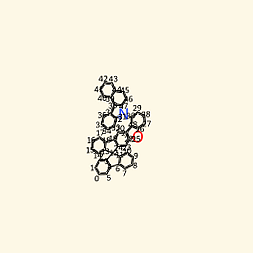 c1ccc2c(c1)-c1ccccc1C21c2ccccc2-c2cc3c(cc21)oc1cccc(-n2c4ccccc4c4c5ccccc5ccc42)c13